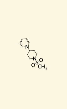 CS(=O)(=O)N1CCC(N2C=CC=CC2)CC1